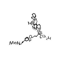 CNCC#Cc1ccc(OCCCc2sc(N3CCCc4c3nnc(Nc3nc5ccccc5s3)c4C)nc2C(=O)O)c(F)c1